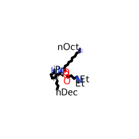 CCCCCCCC/C=C\CCCCCCCC(=O)N[C@@H](COC(=O)CCCN(CC)CC)[C@@H]1C(C(C)C)CC[C@@H]1CCCCCCCCCCCCCC